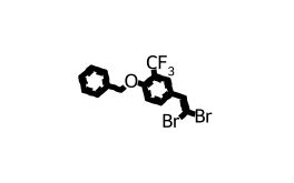 FC(F)(F)c1cc(C=C(Br)Br)ccc1OCc1ccccc1